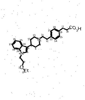 CCOCCn1cc(C2CCN(CCc3ccc(CCC(=O)O)cc3)CC2)c2ccccc21